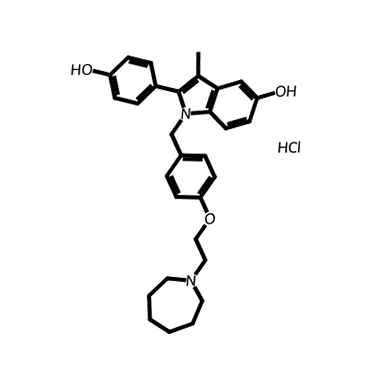 Cc1c(-c2ccc(O)cc2)n(Cc2ccc(OCCN3CCCCCC3)cc2)c2ccc(O)cc12.Cl